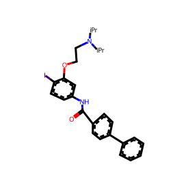 CC(C)N(CCOc1cc(NC(=O)c2ccc(-c3ccccc3)cc2)ccc1I)C(C)C